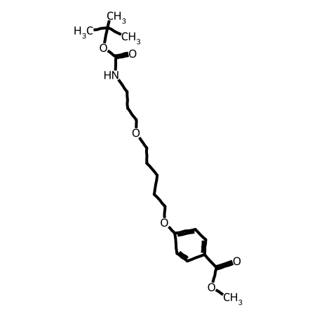 COC(=O)c1ccc(OCCCCCOCCCNC(=O)OC(C)(C)C)cc1